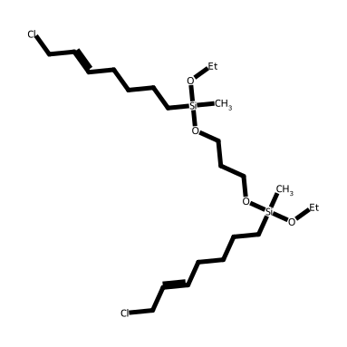 CCO[Si](C)(CCCCC=CCCl)OCCCO[Si](C)(CCCCC=CCCl)OCC